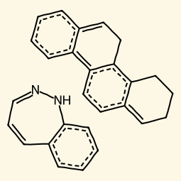 C1=Cc2ccccc2NN=C1.C1=c2ccc3c(c2CCC1)CC=c1ccccc1=3